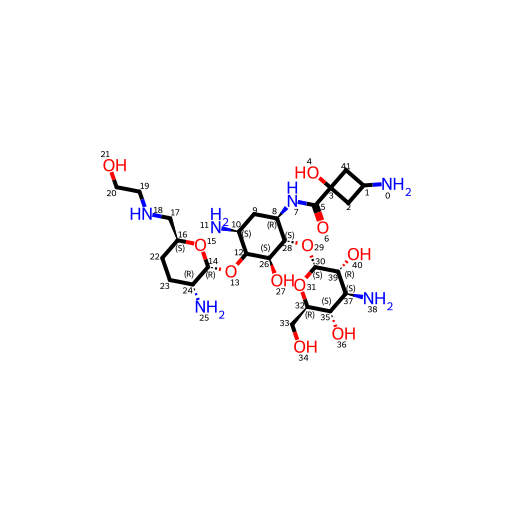 NC1CC(O)(C(=O)N[C@@H]2C[C@H](N)C(O[C@H]3O[C@H](CNCCO)CC[C@H]3N)[C@H](O)[C@H]2O[C@H]2O[C@H](CO)[C@@H](O)[C@H](N)[C@H]2O)C1